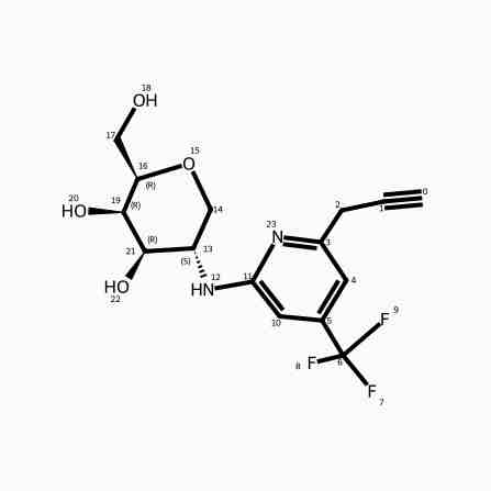 C#CCc1cc(C(F)(F)F)cc(N[C@H]2CO[C@H](CO)[C@H](O)[C@@H]2O)n1